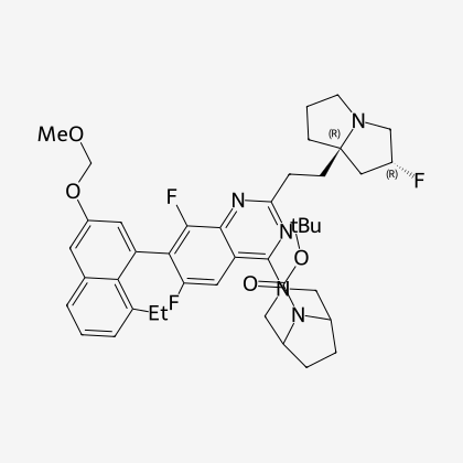 CCc1cccc2cc(OCOC)cc(-c3c(F)cc4c(N5CC6CCC(C5)N6C(=O)OC(C)(C)C)nc(CC[C@@]56CCCN5C[C@H](F)C6)nc4c3F)c12